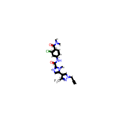 C#CCn1cc(-c2cnc(C(=O)Nc3ccc(C(=O)N(C)C)c(Cl)c3)n2C)c(C(F)(F)F)n1